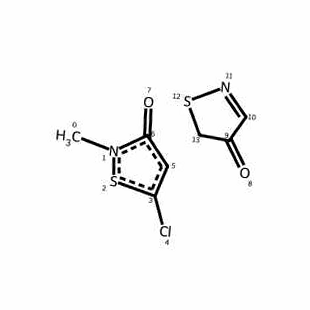 Cn1sc(Cl)cc1=O.O=C1C=NSC1